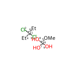 CC[Si](Cl)(Cl)CC.CO[Si](O)(O)O